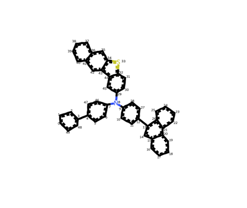 c1ccc(-c2ccc(N(c3ccc(-c4cc5ccccc5c5ccccc45)cc3)c3ccc4sc5cc6ccccc6cc5c4c3)cc2)cc1